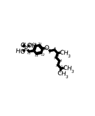 CC(C)CCCC(C)CCOc1ccc(CP(=O)(O)O)cc1